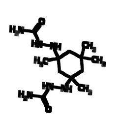 CC1(C)CC(C)(NNC(N)=O)CC(C)(NNC(N)=O)C1